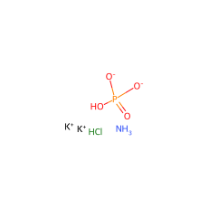 Cl.N.O=P([O-])([O-])O.[K+].[K+]